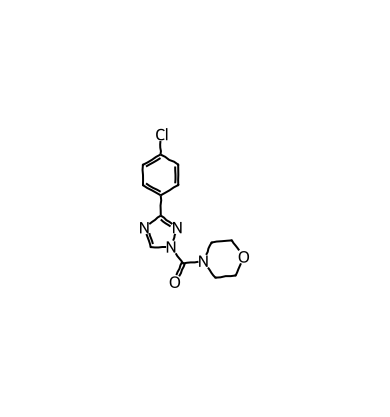 O=C(N1CCOCC1)n1cnc(-c2ccc(Cl)cc2)n1